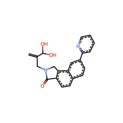 C=C(CN1Cc2c(ccc3ccc(-c4ccccn4)cc23)C1=O)C(O)O